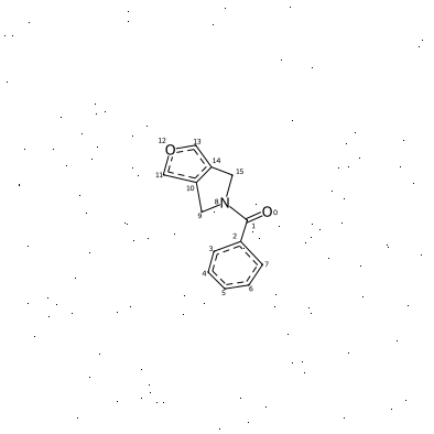 O=C(c1ccccc1)N1Cc2cocc2C1